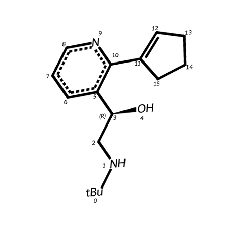 CC(C)(C)NC[C@H](O)c1cccnc1C1=CCCC1